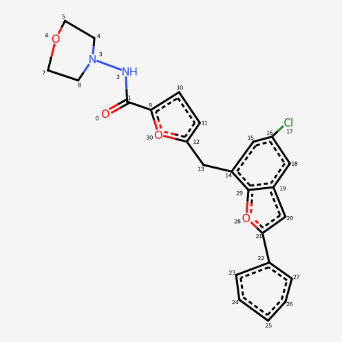 O=C(NN1CCOCC1)c1ccc(Cc2cc(Cl)cc3cc(-c4ccccc4)oc23)o1